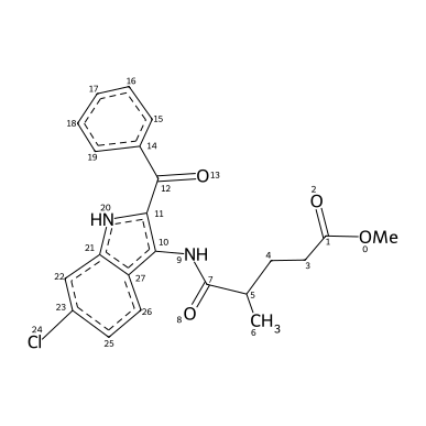 COC(=O)CCC(C)C(=O)Nc1c(C(=O)c2ccccc2)[nH]c2cc(Cl)ccc12